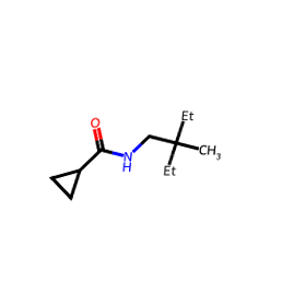 CCC(C)(CC)CNC(=O)C1CC1